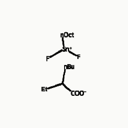 CCCCC(CC)C(=O)[O-].CCCCCCC[CH2][Sn+]([F])[F]